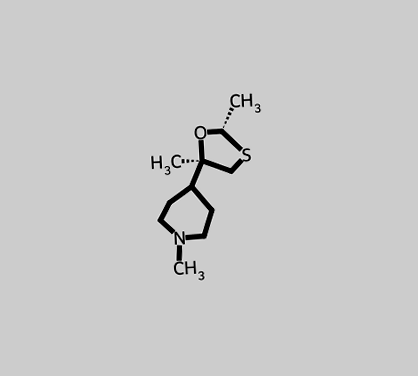 C[C@H]1O[C@](C)(C2CCN(C)CC2)CS1